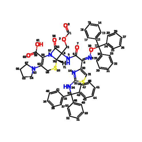 O=COCC1(NC(=O)/C(=N\OC(c2ccccc2)(c2ccccc2)c2ccccc2)c2csc(NC(c3ccccc3)(c3ccccc3)c3ccccc3)n2)C(=O)N2C(C(=O)O)=C(N3CCCC3)CS[C@H]21